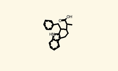 CC(C(=O)O)C1CCc2c([nH]c3ccccc23)C1Cc1ccccc1